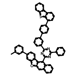 Cc1cccc(-c2ccc3c(c2)oc2cc4ccccc4c(-c4nc(-c5ccccc5)nc(-c5cccc(-c6ccc(-c7cccc8c7sc7ccccc78)cc6)c5)n4)c23)c1